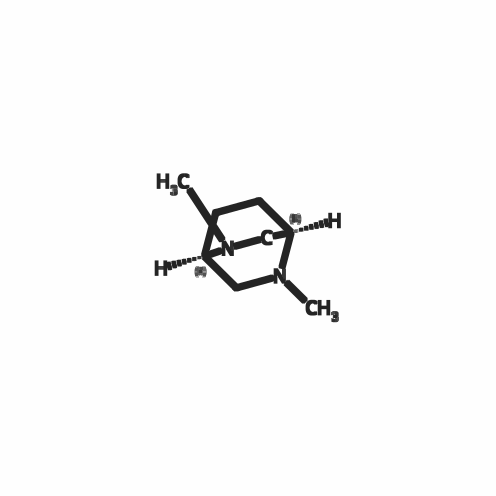 CN1C[C@H]2CC[C@@H]1CN2C